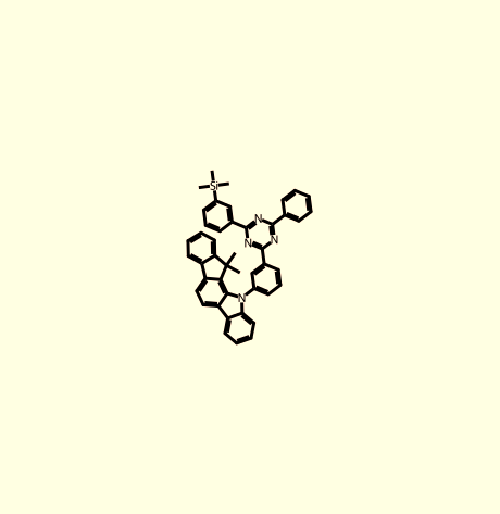 CC1(C)c2ccccc2-c2ccc3c4ccccc4n(-c4cccc(-c5nc(-c6ccccc6)nc(-c6cccc([Si](C)(C)C)c6)n5)c4)c3c21